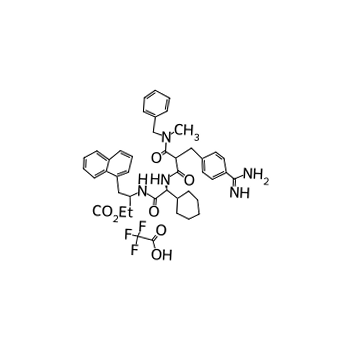 CCOC(=O)C(Cc1cccc2ccccc12)NC(=O)[C@@H](NC(=O)C(Cc1ccc(C(=N)N)cc1)C(=O)N(C)Cc1ccccc1)C1CCCCC1.O=C(O)C(F)(F)F